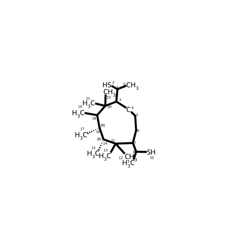 CC(S)C1CCCC(C(C)S)C(C)(C)[C@H](C)[C@H](C)C(C)C1(C)C